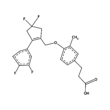 Cc1cc(CCC(=O)O)ccc1OCC1=C(c2ccc(F)c(F)c2)CC(F)(F)C1